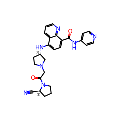 N#C[C@@H]1CCCN1C(=O)CN1CC[C@H](Nc2ccc(C(=O)Nc3ccncc3)c3ncccc23)C1